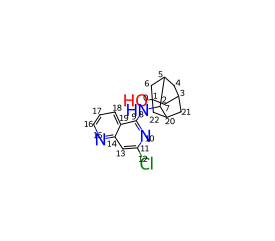 OC12CC3CC(C1)C(Nc1nc(Cl)cc4ncccc14)C(C3)C2